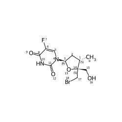 C[C@H]1C[C@H](n2cc(F)c(=O)[nH]c2=O)O[C@@]1(CO)CBr